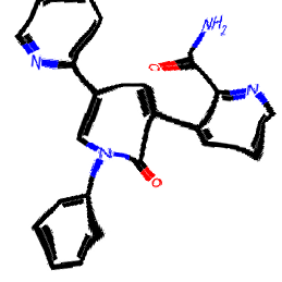 NC(=O)c1ncccc1-c1cc(-c2ccccn2)cn(-c2ccccc2)c1=O